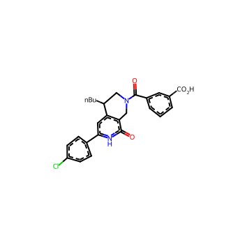 CCCCC1CN(C(=O)c2cccc(C(=O)O)c2)Cc2c1cc(-c1ccc(Cl)cc1)[nH]c2=O